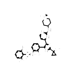 O=S1(=O)CCC(Nc2nccc(-c3sc(C4(C(F)(F)F)CC4)nc3-c3cccc(NS(=O)(=O)c4c(F)cccc4C(F)(F)F)c3F)n2)CC1